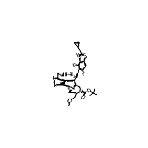 COCC1Cn2c(c(C#Cc3c(F)cc4sc(C5CC5)nc4c3F)c3c(N)ncnc32)CN1C(=O)OC(C)(C)C